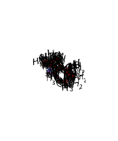 CNC(=O)c1ccccc1Sc1ccc2c(/C=C/c3ccccn3)nn(C(=O)N(CCOC=O)CCC(=O)N[C@H](C(=O)N[C@H](CCCN)C(=O)N[C@H]3CCNC(=O)[C@@H]([C@@H](C)O)NC(=O)[C@@H](CCN)NC(=O)[C@@H](CCN)NC(=O)[C@@H](CC(C)C)NC(=O)[C@@H](Cc4ccccc4)NC(=O)[C@@H](CCN)NC3=O)[C@@H](C)O)c2c1